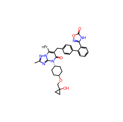 CCCc1c(Cc2ccc(-c3ccccc3-c3noc(=O)[nH]3)cc2)c(=O)n([C@H]2CC[C@H](OCC3(O)CC3)CC2)c2nc(C)nn12